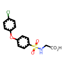 O=C(O)CNS(=O)(=O)c1ccc(Oc2ccc(Cl)cc2)cc1